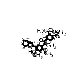 C=C(C(=O)c1ccc(S(N)(=O)=O)c(C(C)=O)c1)c1cc(-c2cc3ccccc3[nH]2)c(OC)cc1OC